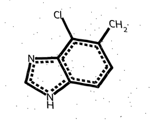 [CH2]c1ccc2[nH]cnc2c1Cl